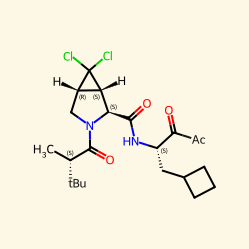 CC(=O)C(=O)[C@H](CC1CCC1)NC(=O)[C@@H]1[C@@H]2[C@H](CN1C(=O)[C@@H](C)C(C)(C)C)C2(Cl)Cl